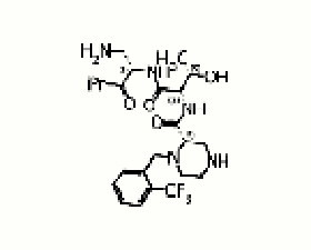 CC(C)C(=O)[C@H](CN)NC(=O)[C@@H](NC(=O)[C@@H]1CNCCN1Cc1ccccc1C(F)(F)F)[C@H](C)O